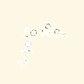 CC1(N)CC(NC(=O)N2CCN(C(=O)c3ccc(NC(=O)c4ncc(Cc5cn(C6CC6)nc5C(F)(F)F)[nH]4)cc3Cl)CC2)C1